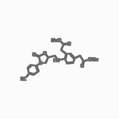 COC(=O)Cc1ccc(NCC2CN(c3ccc(C#N)cc3)C(=O)O2)c(CC(=O)OC)c1